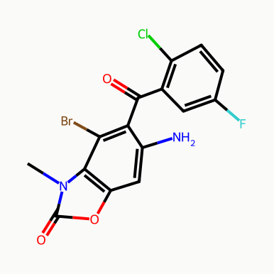 Cn1c(=O)oc2cc(N)c(C(=O)c3cc(F)ccc3Cl)c(Br)c21